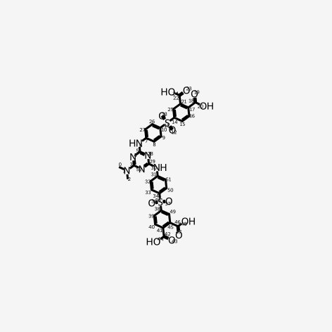 CN(C)c1nc(Nc2ccc(S(=O)(=O)c3ccc(C(=O)O)c(C(=O)O)c3)cc2)nc(Nc2ccc(S(=O)(=O)c3ccc(C(=O)O)c(C(=O)O)c3)cc2)n1